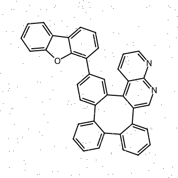 c1ccc2c(c1)-c1ccccc1-c1cnc3ncccc3c1-c1cc(-c3cccc4c3oc3ccccc34)ccc1-2